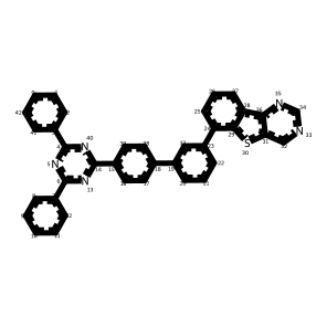 c1ccc(-c2nc(-c3ccccc3)nc(-c3ccc(-c4cccc(-c5cccc6c5sc5cncnc56)c4)cc3)n2)cc1